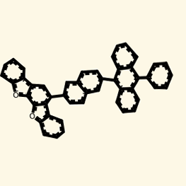 c1ccc(-c2c3ccccc3c(-c3ccc4cc(-c5cc6c7ccccc7oc6c6oc7ccccc7c56)ccc4c3)c3ccccc23)cc1